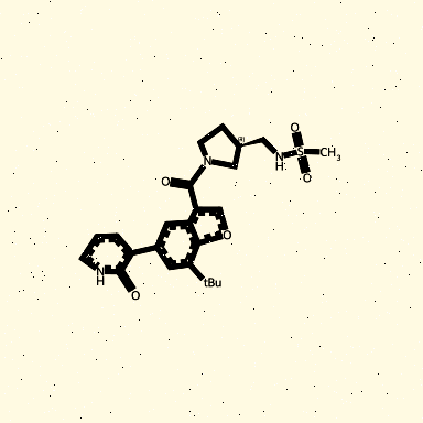 CC(C)(C)c1cc(-c2ccc[nH]c2=O)cc2c(C(=O)N3CC[C@@H](CNS(C)(=O)=O)C3)coc12